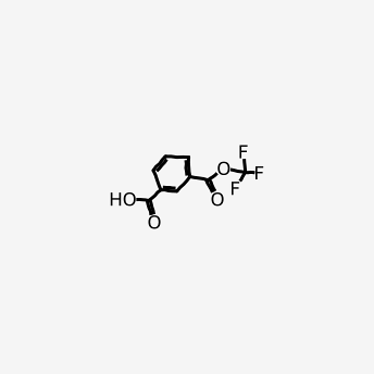 O=C(O)c1cccc(C(=O)OC(F)(F)F)c1